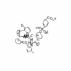 Cc1ccc(C)c(NC(=O)[C@H]2CCCC[C@H]2C(=O)O)c1.O=C(Nc1cccc(Cl)c1Cl)[C@H]1CCCC[C@H]1C(=O)O.O=C(O)c1ccc(P(=O)(O)O)cc1